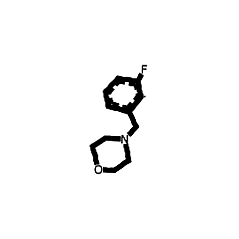 Fc1[c]c(CN2CCOCC2)ccc1